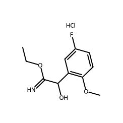 CCOC(=N)C(O)c1cc(F)ccc1OC.Cl